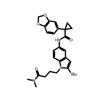 CN(C)C(=O)CCCn1c(C(C)(C)C)cc2cc(NC(=O)C3(c4ccc5c(c4)OCO5)CC3)ccc21